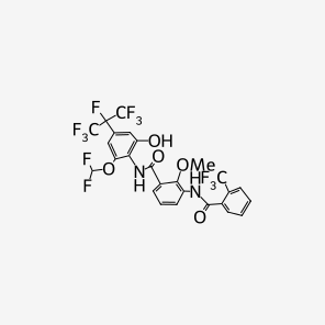 COc1c(NC(=O)c2ccccc2C(F)(F)F)cccc1C(=O)Nc1c(O)cc(C(F)(C(F)(F)F)C(F)(F)F)cc1OC(F)F